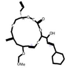 C=CC[C@H]1CCCC(=C)CC(OCOC)/C=C/CC(C(O)/C=C/C2CCCCC2)OC(=O)CO1